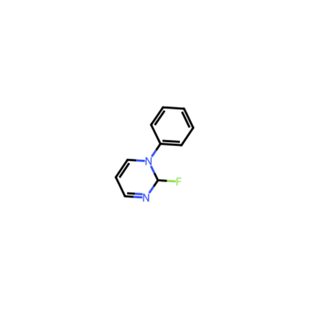 FC1N=CC=CN1c1ccccc1